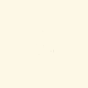 CC(C)CP(C)(=O)Cl